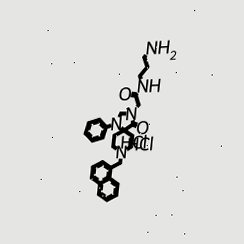 Cl.Cl.NCCCNC(=O)CN1CN(c2ccccc2)C2(CCN(Cc3cccc4ccccc34)CC2)C1=O